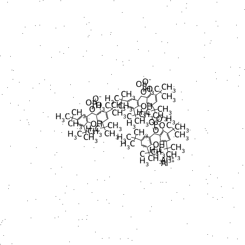 CC(C)(C)c1cc(Cc2cc(C(C)(C)C)cc(C(C)(C)C)c2OP(=O)([O-])[O-])c(O)c(C(C)(C)C)c1.CC(C)(C)c1cc(Cc2cc(C(C)(C)C)cc(C(C)(C)C)c2OP(=O)([O-])[O-])c(O)c(C(C)(C)C)c1.CC(C)(C)c1cc(Cc2cc(C(C)(C)C)cc(C(C)(C)C)c2OP(=O)([O-])[O-])c(O)c(C(C)(C)C)c1.[Al+3].[Al+3]